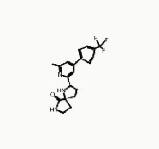 Cc1cc(-c2ccc(C(F)(F)F)cc2)cc([C@H]2CC[C@]3(CCNC3=O)N2)n1